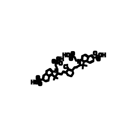 CC1(C)C(=CC=C2CCCC(C=CC3=[N+](CCS(=O)(=O)O)c4ccc5cc(S(=O)(=O)O)ccc5c4C3(C)C)=C2Cl)N(CCS(=O)(=O)O)c2ccc3cc(S(=O)(=O)O)ccc3c21